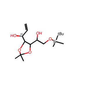 C=C[C@H](O)C1OC(C)(C)OC1C(O)CO[Si](C)(C)C(C)(C)C